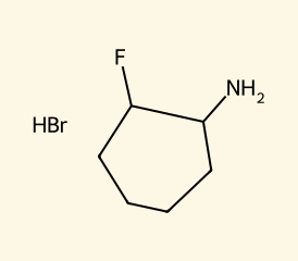 Br.NC1CCCCC1F